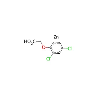 O=C(O)COc1ccc(Cl)cc1Cl.[Zn]